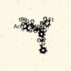 CCN1CCN(C(=O)NC(C(=O)N[C@@H]2C(=O)N3C(C(=O)OC(C)(C)C)=C(COC(C)=O)CSC23SC)c2ccc(OC(=O)OCc3ccccc3)cc2)C(=O)C1=O